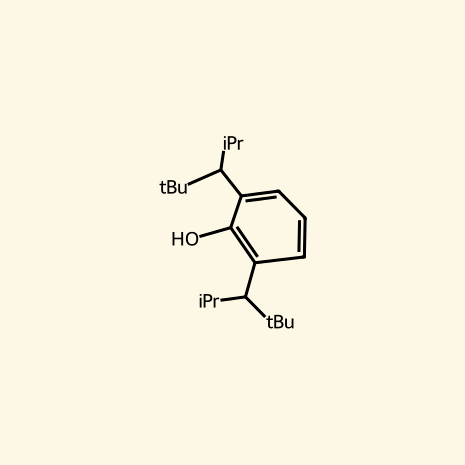 CC(C)C(c1cccc(C(C(C)C)C(C)(C)C)c1O)C(C)(C)C